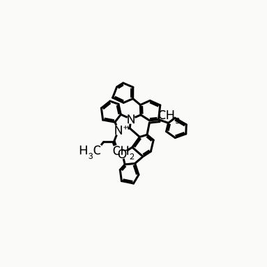 C=C(CC)[n+]1c(-c2c(CCC)ccc3c2oc2ccccc23)n(-c2cc(-c3ccccc3)ccc2-c2ccccc2)c2ccccc21